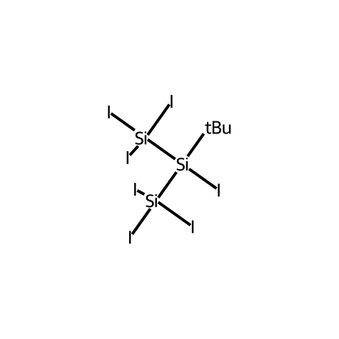 CC(C)(C)[Si](I)([Si](I)(I)I)[Si](I)(I)I